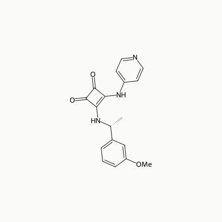 COc1cccc([C@@H](C)Nc2c(Nc3ccncc3)c(=O)c2=O)c1